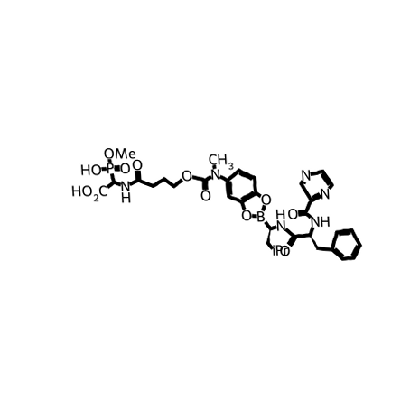 COP(=O)(O)C(NC(=O)CCCOC(=O)N(C)c1ccc2c(c1)OB([C@H](CC(C)C)NC(=O)[C@H](Cc1ccccc1)NC(=O)c1cnccn1)O2)C(=O)O